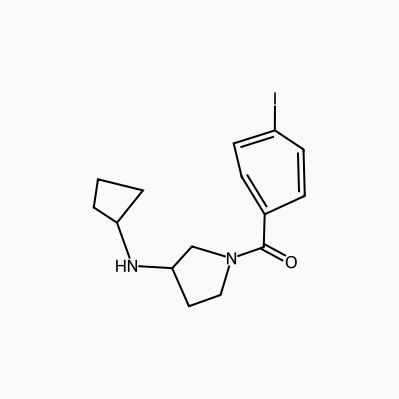 O=C(c1ccc(I)cc1)N1CCC(NC2CCC2)C1